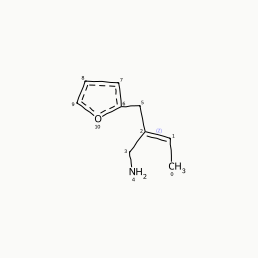 C/C=C(\CN)Cc1ccco1